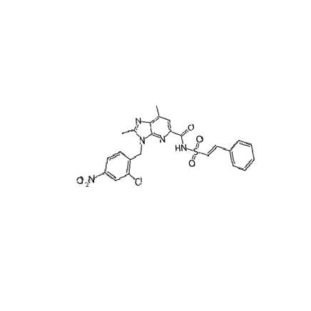 Cc1cc(C(=O)NS(=O)(=O)/C=C/c2ccccc2)nc2c1nc(C)n2Cc1ccc([N+](=O)[O-])cc1Cl